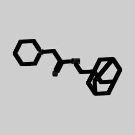 O=C(CN1CCCCC1)NCC12CC3CC(CC(C3)C1)C2